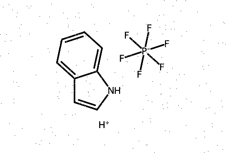 F[P-](F)(F)(F)(F)F.[H+].c1ccc2[nH]ccc2c1